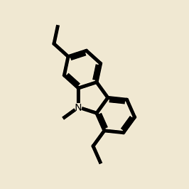 CCc1ccc2c3cccc(CC)c3n(C)c2c1